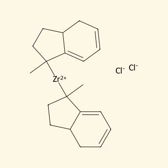 C[C]1([Zr+2][C]2(C)CCC3CC=CC=C32)CCC2CC=CC=C21.[Cl-].[Cl-]